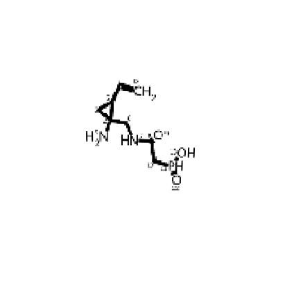 C=CC1CC1(N)CNC(=O)C[PH](=O)O